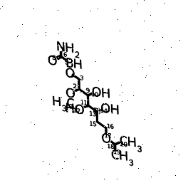 COC(COBC(N)=O)C(O)C(O)[C@H](O)CCOC(C)C